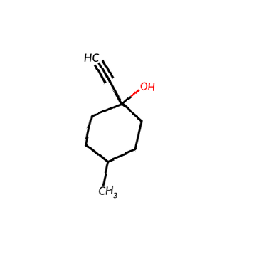 C#CC1(O)CCC(C)CC1